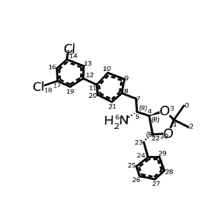 CC1(C)O[C@H]([C@H](N)Cc2ccc(-c3cc(Cl)cc(Cl)c3)cc2)[C@@H](Cc2ccccc2)O1